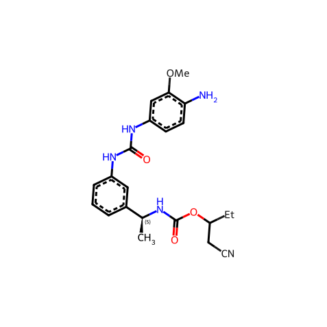 CCC(CC#N)OC(=O)N[C@@H](C)c1cccc(NC(=O)Nc2ccc(N)c(OC)c2)c1